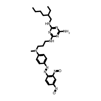 CCCCC(CC)CNc1nc(N)nc(NCCCN(C)c2ccc(/N=N/c3ccc(N=O)cc3N=O)cc2)n1